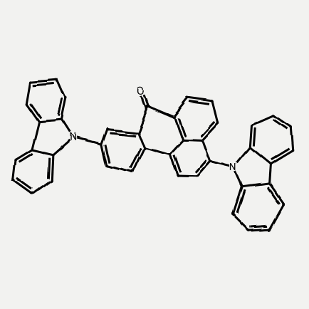 O=C1c2cc(-n3c4ccccc4c4ccccc43)ccc2-c2ccc(-n3c4ccccc4c4ccccc43)c3cccc1c23